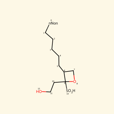 CCCCCCCCCCCCCCC1COC1(CCO)S(=O)(=O)O